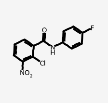 O=C(Nc1ccc(F)cc1)c1cccc([N+](=O)[O-])c1Cl